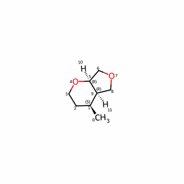 C[C@H]1CCO[C@H]2COC[C@H]21